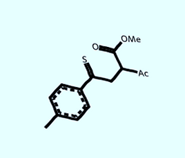 COC(=O)C(CC(=S)c1ccc(C)cc1)C(C)=O